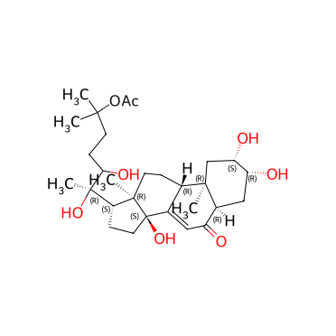 CC(=O)OC(C)(C)CCC(O)[C@](C)(O)[C@H]1CC[C@@]2(O)C3=CC(=O)[C@@H]4C[C@@H](O)[C@@H](O)C[C@]4(C)[C@H]3CC[C@]12C